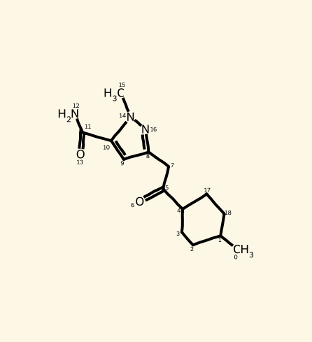 CC1CCC(C(=O)Cc2cc(C(N)=O)n(C)n2)CC1